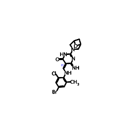 Cc1cc(Br)cc(Cl)c1N/C=C1\C(=N)N=C(N2CC3CC(C2)O3)NC1=O